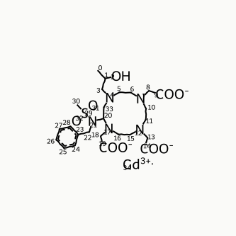 CC(O)CN1CCN(CC(=O)[O-])CCN(CC(=O)[O-])CCN(CC(=O)[O-])C(N(Cc2ccccc2)S(C)(=O)=O)C1.[Gd+3]